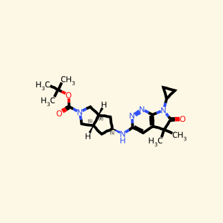 CC(C)(C)OC(=O)N1C[C@H]2C[C@H](Nc3cc4c(nn3)N(C3CC3)C(=O)C4(C)C)C[C@H]2C1